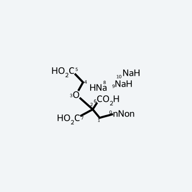 CCCCCCCCCCC(OCC(=O)O)(C(=O)O)C(=O)O.[NaH].[NaH].[NaH]